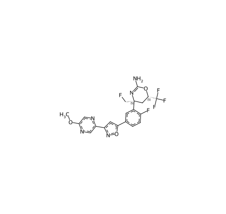 COc1cnc(-c2cc(-c3ccc(F)c([C@]4(CF)C[C@@H](C(F)(F)F)OC(N)=N4)c3)on2)cn1